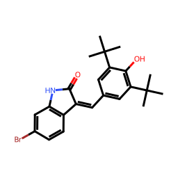 CC(C)(C)c1cc(C=C2C(=O)Nc3cc(Br)ccc32)cc(C(C)(C)C)c1O